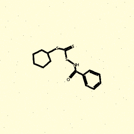 O=C(NSC(=S)SC1CCCCC1)c1ccccc1